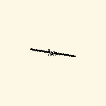 CCCCCCCCC=CCCCCCCCC(=O)OC(CCl)COC(=O)CCCCCCCCCCCCCCC